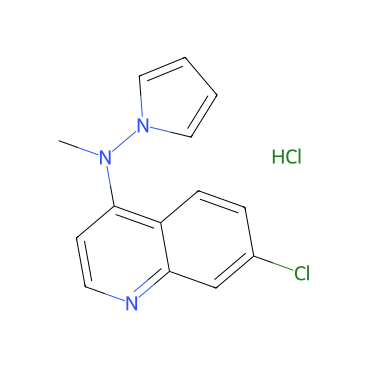 CN(c1ccnc2cc(Cl)ccc12)n1cccc1.Cl